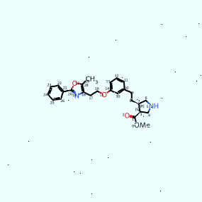 COC(=O)[C@@H]1CNC[C@@H]1CCc1cccc(OCCc2nc(-c3ccccc3)oc2C)c1